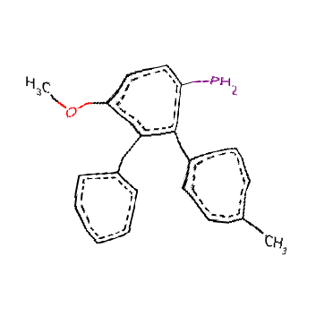 COc1ccc(P)c(-c2ccc(C)cc2)c1-c1ccccc1